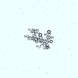 CC[C@H](C)[C@H](NC(=O)[C@H](Cc1ccc(O)cc1)NC(=O)[C@@H]1CCCN1C(=O)[C@H](CCCNC(=N)N)NC(=O)[C@@H](N)CC(=O)O)C(=O)N[C@@H](Cc1c[nH]cn1)C(=O)N1CCC[C@H]1C(=O)N[C@@H](Cc1ccccc1)C(=O)O